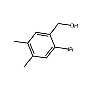 Cc1cc(CO)c(C(C)C)cc1C